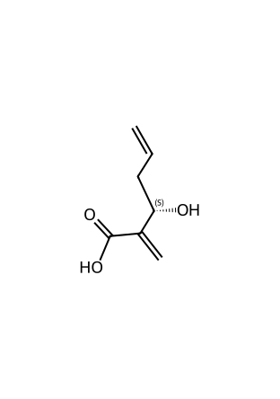 C=CC[C@H](O)C(=C)C(=O)O